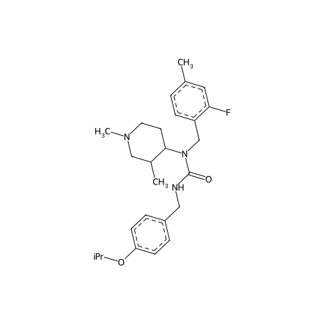 Cc1ccc(CN(C(=O)NCc2ccc(OC(C)C)cc2)C2CCN(C)CC2C)c(F)c1